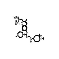 CCCCN(CC)CC/C(C)=C\C1=CC(=N/C(=N\CNC2CCCNC(C)(C)CC2)N2CCCN(C)CC2)/C(C)C=C1OC